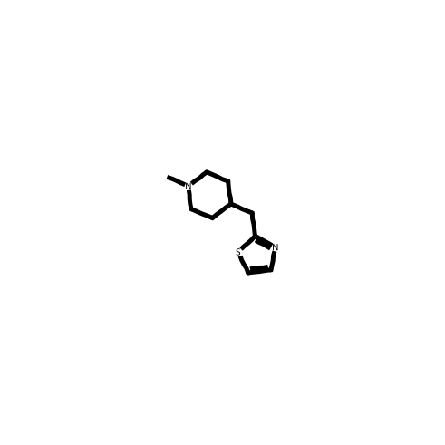 CN1CCC(Cc2nccs2)CC1